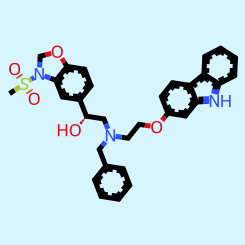 CS(=O)(=O)N1COc2ccc([C@@H](O)CN(CCOc3ccc4c(c3)[nH]c3ccccc34)Cc3ccccc3)cc21